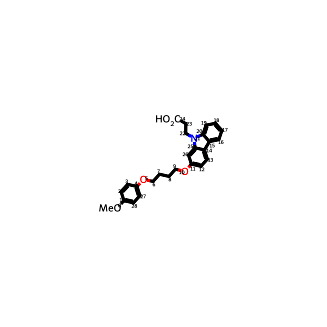 COc1ccc(OCCCCOc2ccc3c4ccccc4n(CCC(=O)O)c3c2)cc1